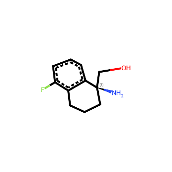 N[C@@]1(CO)CCCc2c(F)cccc21